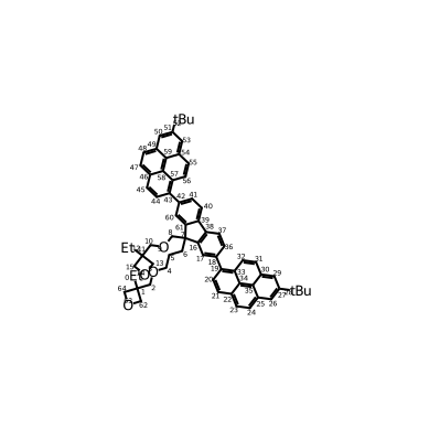 CCC1(COCCCC2(COCC3(CC)COC3)c3cc(-c4ccc5ccc6cc(C(C)(C)C)cc7ccc4c5c67)ccc3-c3ccc(-c4ccc5ccc6cc(C(C)(C)C)cc7ccc4c5c67)cc32)COC1